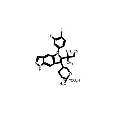 CC(C)(CC#N)c1c(C2CC[C@@](C)(C(=O)O)OC2)c2cc3[nH]ncc3cc2n1-c1ccc(F)c(F)c1